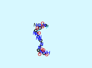 N#Cc1c(NS(=O)(=O)N2CC[C@@H](F)C2)ccc(F)c1Oc1ccc2ncn(-c3cnc(N4CCC(CN5CC6(C5)CN(c5cccc7c5C(=O)N(C5CCC(=O)NC5=O)C7=O)C6)CC4)nc3)c(=O)c2c1